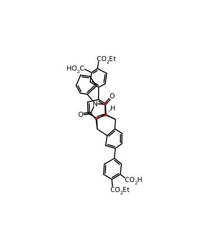 CCOC(=O)c1ccc(-c2ccc3c(c2)C2c4ccc(-c5ccc(C(=O)OCC)c(C(=O)O)c5)cc4C3[C@@H]3C(=O)N(c4ccccc4)C(=O)C23)cc1C(=O)O